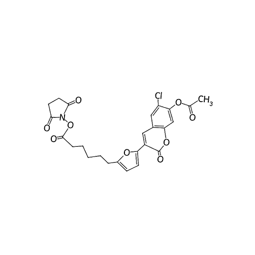 CC(=O)Oc1cc2oc(=O)c(-c3ccc(CCCCCC(=O)ON4C(=O)CCC4=O)o3)cc2cc1Cl